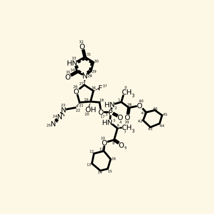 CC(NP(=O)(N[C@@H](C)C(=O)OC1CCCCC1)OC[C@@]1(O)[C@H](CN=[N+]=[N-])O[C@H](n2ccc(=O)[nH]c2=O)[C@@H]1F)C(=O)OC1CCCCC1